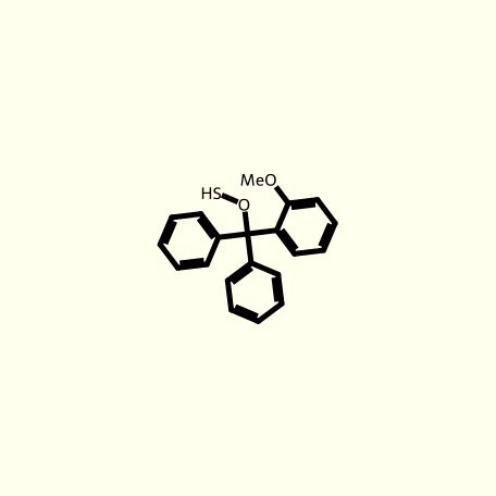 COc1ccccc1C(OS)(c1ccccc1)c1ccccc1